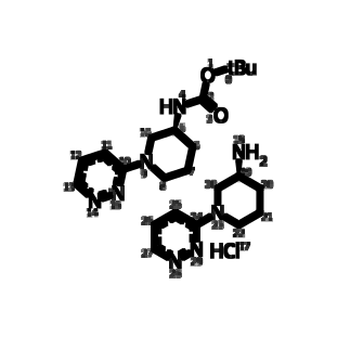 CC(C)(C)OC(=O)N[C@H]1CCCN(c2cccnn2)C1.Cl.N[C@H]1CCCN(c2cccnn2)C1